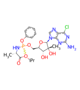 CC(C)OC(=O)[C@H](C)NP(=S)(OC[C@H]1O[C@@H](n2cnc3c(Cl)nc(N)nc32)[C@](C)(O)[C@@H]1O)Oc1ccccc1